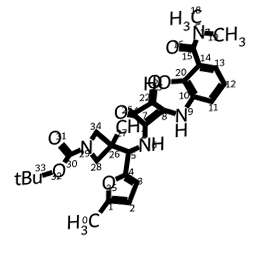 Cc1ccc(C(Nc2c(Nc3cccc(C(=O)N(C)C)c3O)c(=O)c2=O)C2(C)CN(C(=O)OC(C)(C)C)C2)o1